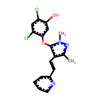 Cc1nn(C)c(Oc2cc(O)c(Cl)cc2Cl)c1/C=C/c1ccccn1